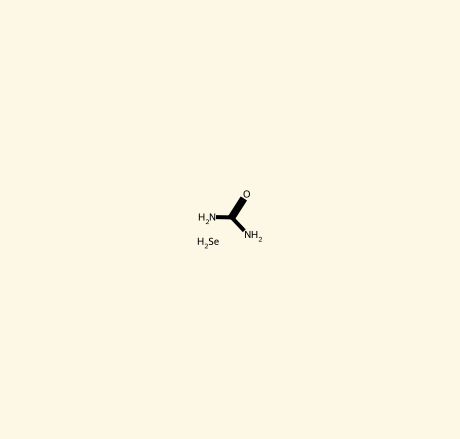 NC(N)=O.[SeH2]